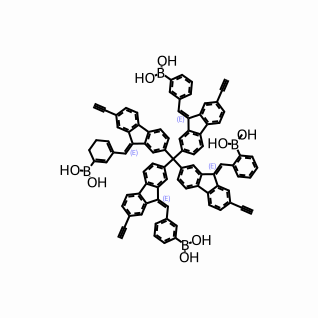 C#Cc1ccc2c(c1)/C(=C\C1=CCCC(B(O)O)=C1)c1cc(C(c3ccc4c(c3)/C(=C/c3cccc(B(O)O)c3)c3cc(C#C)ccc3-4)(c3ccc4c(c3)/C(=C/c3cccc(B(O)O)c3)c3cc(C#C)ccc3-4)c3ccc4c(c3)/C(=C/c3ccccc3B(O)O)c3cc(C#C)ccc3-4)ccc1-2